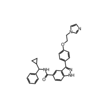 O=C(NC(c1ccccc1)C1CC1)c1ccc2[nH]nc(-c3ccc(OCCn4ccnc4)cc3)c2c1